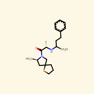 CCOC(=O)C(CCc1ccccc1)N[C@@H](C)C(=O)N1CC2(CCCS2)C[C@H]1C(=O)O